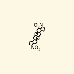 O=[N+]([O-])c1cccc2c3c(ccc12)OC1(C=C3)C=Cc2c(ccc3c([N+](=O)[O-])cccc23)O1